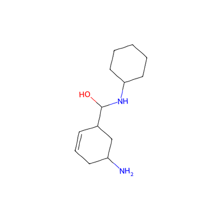 NC1CC=CC(C(O)NC2CCCCC2)C1